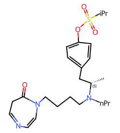 CCCN(CCCCN1C=CN=CCC1=O)[C@@H](C)Cc1ccc(OS(=O)(=O)C(C)C)cc1